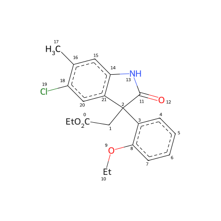 CCOC(=O)CC1(c2ccccc2OCC)C(=O)Nc2cc(C)c(Cl)cc21